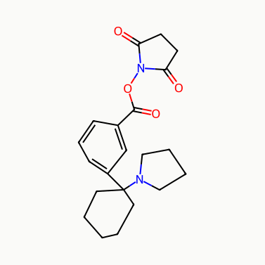 O=C(ON1C(=O)CCC1=O)c1cccc(C2(N3CCCC3)CCCCC2)c1